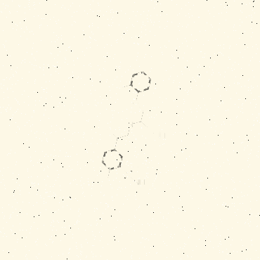 CCCOc1ccccc1OCC(C)NCC(O)c1ccc(C)c(S(N)(=O)=O)c1.Cl